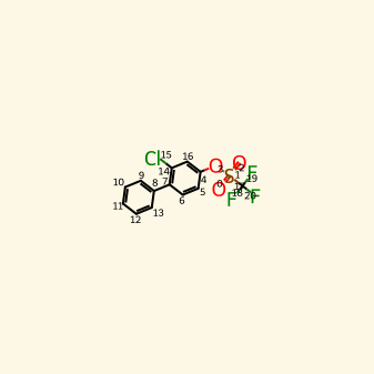 O=S(=O)(Oc1ccc(-c2ccccc2)c(Cl)c1)C(F)(F)F